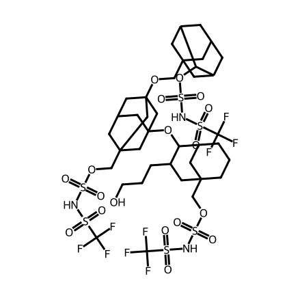 O=S(=O)(NS(=O)(=O)C(F)(F)F)OCC12CCCC(C1)C(OC13CC4CC(COS(=O)(=O)NS(=O)(=O)C(F)(F)F)(CC(OCC56CC7CC(C5)C(OS(=O)(=O)NS(=O)(=O)C(F)(F)F)C(C7)C6)(C4)C1)C3)C(CCCO)C2